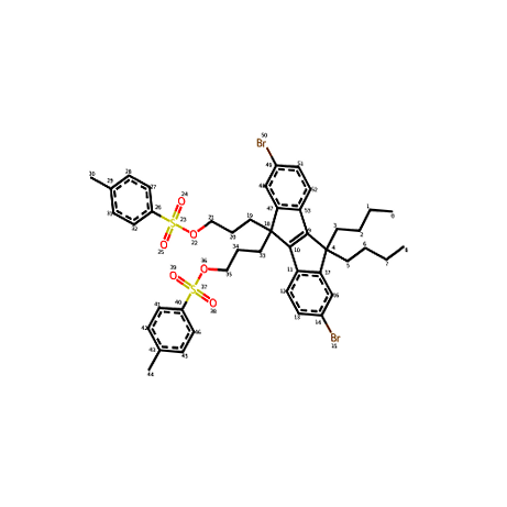 CCCCC1(CCCC)C2=C(c3ccc(Br)cc31)C(CCCOS(=O)(=O)c1ccc(C)cc1)(CCCOS(=O)(=O)c1ccc(C)cc1)c1cc(Br)ccc12